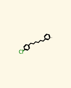 Clc1ccc(CCCCCCc2c[c]ccc2)cc1